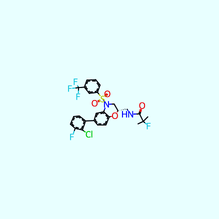 CC(C)(F)C(=O)NC[C@H]1CN(S(=O)(=O)c2cccc(C(F)(F)F)c2)c2cc(-c3cccc(F)c3Cl)ccc2O1